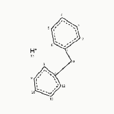 [CH](c1ccccc1)c1ccccc1.[H+]